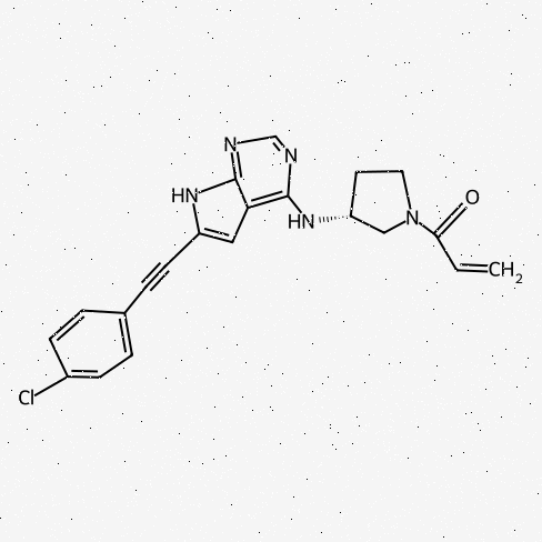 C=CC(=O)N1CC[C@@H](Nc2ncnc3[nH]c(C#Cc4ccc(Cl)cc4)cc23)C1